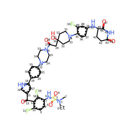 CCN(C)S(=O)(=O)Nc1ccc(F)c(C(=O)c2c[nH]c(-c3ccc(N4CCN(C(=O)CC5(O)CCN(c6ccc(NC7CCC(=O)NC7=O)cc6F)CC5)CC4)cc3)c2)c1F